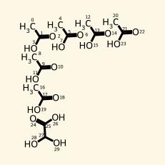 CC(=O)O.CC(=O)O.CC(=O)O.CC(=O)O.CC(=O)O.CC(=O)O.O=C(O)C(O)O